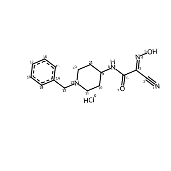 Cl.N#CC(=NO)C(=O)NC1CCN(Cc2ccccc2)CC1